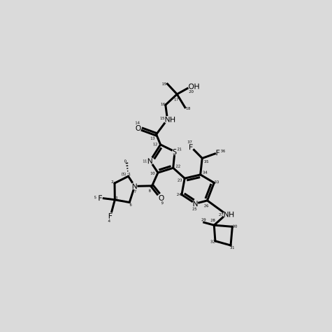 C[C@H]1CC(F)(F)CN1C(=O)c1nc(C(=O)NCC(C)(C)O)sc1-c1cnc(NC2(C)CCC2)cc1C(F)F